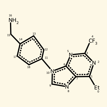 CCc1nc(C(F)(F)F)nc2c1ncn2-c1ccc(CN)cc1